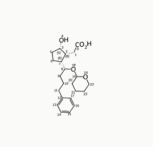 O=C(O)C[C@H]1[C@@H](O)CC[C@H]1C(CCCc1ccccc1)OC1CCCCO1